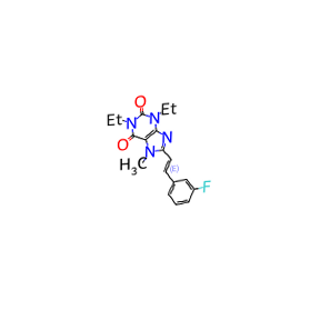 CCn1c(=O)c2c(nc(/C=C/c3cccc(F)c3)n2C)n(CC)c1=O